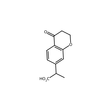 CC(C(=O)O)c1ccc2c(c1)OCCC2=O